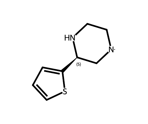 c1csc([C@@H]2C[N]CCN2)c1